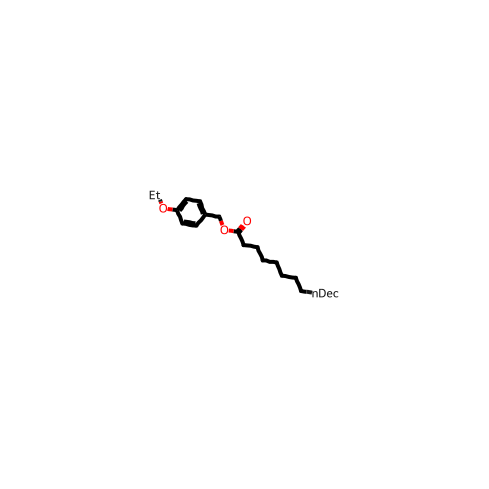 CCCCCCCCCCCCCCCCCC(=O)OCc1ccc(OCC)cc1